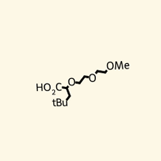 COCCOCCOC(CC(C)(C)C)C(=O)O